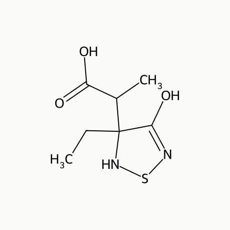 CCC1(C(C)C(=O)O)NSN=C1O